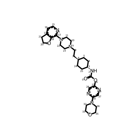 O=C(N[C@H]1CC[C@H](CCN2CCN(c3nccc4c3OCC4)CC2)CC1)Oc1cnc(N2CCOCC2)cn1